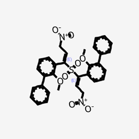 COc1c(/C(=C\C[N+](=O)[O-])S(=O)(=O)/C(=C/C[N+](=O)[O-])c2cccc(-c3ccccc3)c2OC)cccc1-c1ccccc1